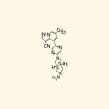 CCOc1cc(-c2cnc(N3C[C@@H]4C[C@@](C)(N)C[C@@H]4C3)cn2)c2c(C#N)cnn2c1